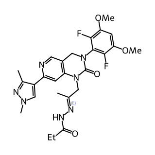 CCC(=O)N/N=C(\C)CN1C(=O)N(c2c(F)c(OC)cc(OC)c2F)Cc2cnc(-c3cn(C)nc3C)cc21